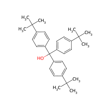 CC(C)(C)c1ccc(C(O)(c2ccc(C(C)(C)C)cc2)c2ccc(C(C)(C)C)cc2)cc1